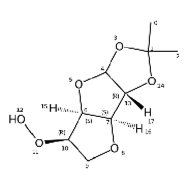 CC1(C)OC2O[C@H]3[C@H](OC[C@H]3OO)[C@H]2O1